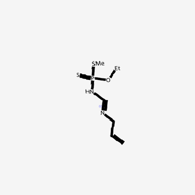 C=CC/N=C/NP(=S)(OCC)SC